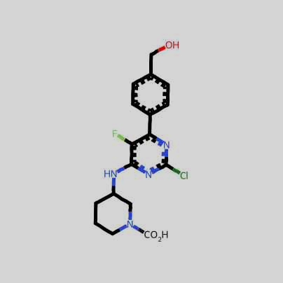 O=C(O)N1CCCC(Nc2nc(Cl)nc(-c3ccc(CO)cc3)c2F)C1